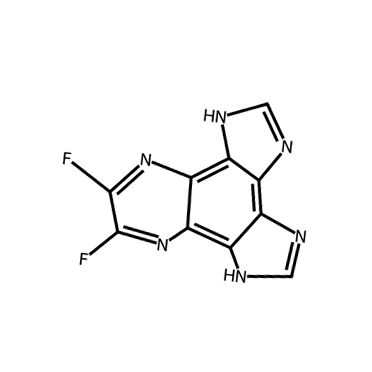 Fc1nc2c(nc1F)c1[nH]cnc1c1nc[nH]c12